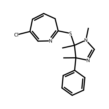 CN1C=NC(C)(c2ccccc2)C1(C)SC1=NC=C(Cl)C=CC1